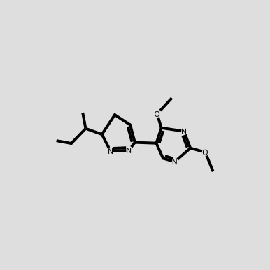 CCC(C)C1CC=C(c2cnc(OC)nc2OC)N=N1